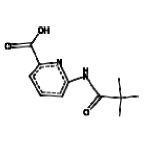 CC(C)(C)C(=O)Nc1cccc(C(=O)O)n1